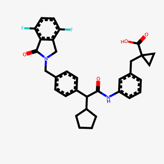 O=C(Nc1cccc(CC2(C(=O)O)CC2)c1)C(c1ccc(CN2Cc3c(F)ccc(F)c3C2=O)cc1)C1CCCC1